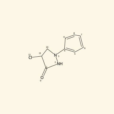 O=C1NN(c2ccccc2)CC1Cl